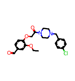 CCOc1cc(C=O)ccc1OCC(=O)N1CCN(Cc2ccc(Cl)cc2)CC1